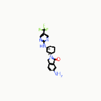 Nc1ccc2c(c1)C(=O)N([C@H]1CCC[C@@H](Nc3ncc(C(F)(F)F)cn3)C1)C2